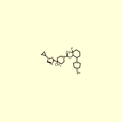 CC(C)N1CCN(C2CCCC(F)(F)C2OC(=O)N2CCC(C)(c3ncn(C4CC4)n3)CC2)CC1